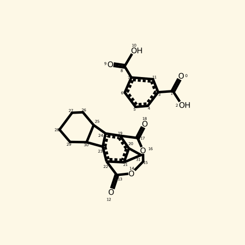 O=C(O)c1cccc(C(=O)O)c1.O=C1OCOC(=O)c2c3c(c1c1c2C2CCCCC12)C3